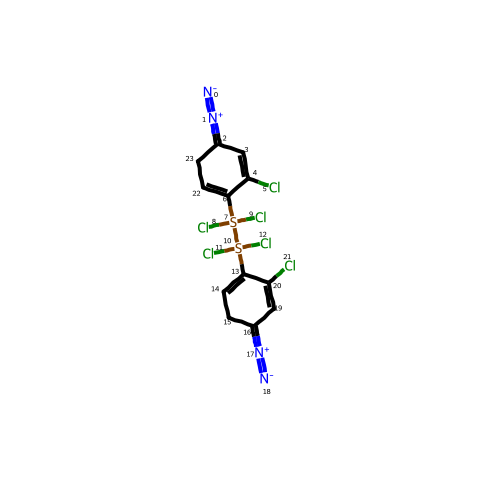 [N-]=[N+]=C1C=C(Cl)C(S(Cl)(Cl)S(Cl)(Cl)C2=CCC(=[N+]=[N-])C=C2Cl)=CC1